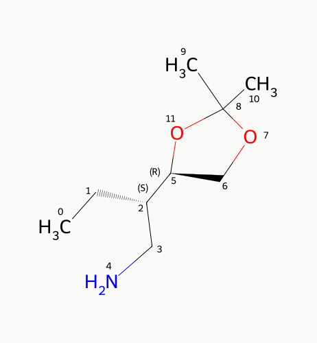 CC[C@@H](CN)[C@@H]1COC(C)(C)O1